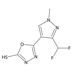 Cn1cc(-c2nnc(S)o2)c(C(F)F)n1